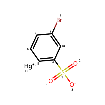 O=S(=O)([O-])c1cccc(Br)c1.[Hg+]